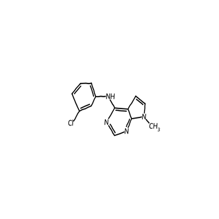 Cn1ccc2c(Nc3cccc(Cl)c3)ncnc21